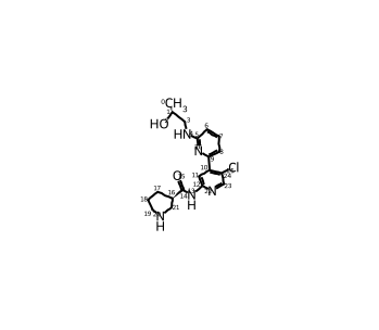 C[C@@H](O)CNc1cccc(-c2cc(NC(=O)[C@@H]3CCCNC3)ncc2Cl)n1